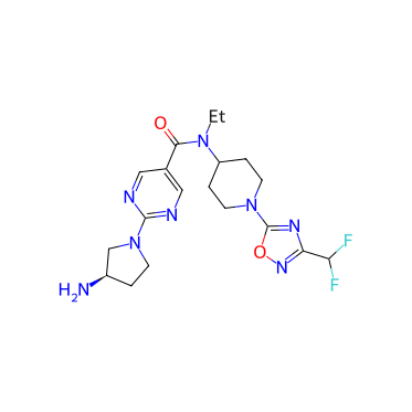 CCN(C(=O)c1cnc(N2CC[C@@H](N)C2)nc1)C1CCN(c2nc(C(F)F)no2)CC1